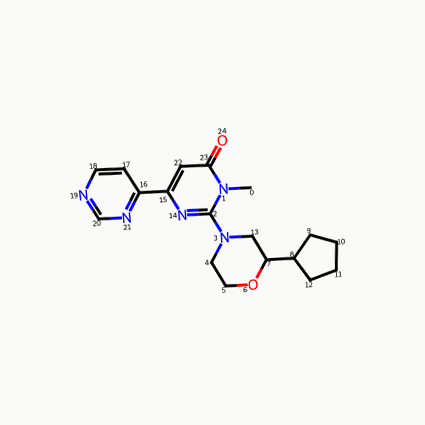 Cn1c(N2CCOC(C3CCCC3)C2)nc(-c2ccncn2)cc1=O